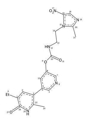 CCc1cc(-c2cncc(OC(=O)NCCn3c([N+](=O)[O-])cnc3C)c2)c(C)[nH]c1=O